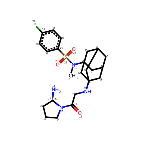 CN(C12CC3CC(CC(NCC(=O)N4CCC[C@H]4N)(C3)C1)C2)S(=O)(=O)c1ccc(F)cc1